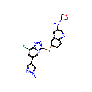 Cn1cc(-c2cc(F)c3nnc(Sc4ccc5ncc(NC6COC6)cc5c4)n3c2)cn1